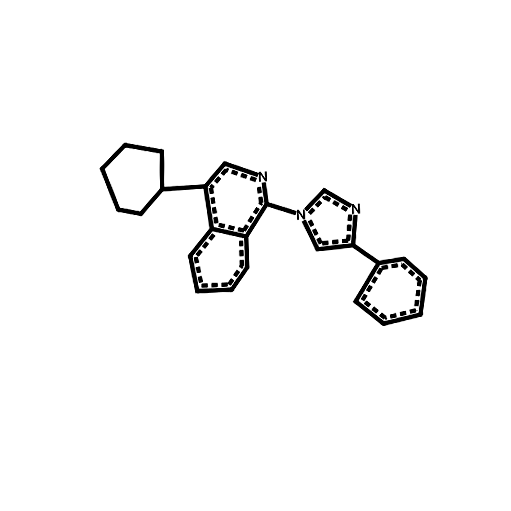 c1ccc(-c2cn(-c3ncc(C4CCCCC4)c4ccccc34)cn2)cc1